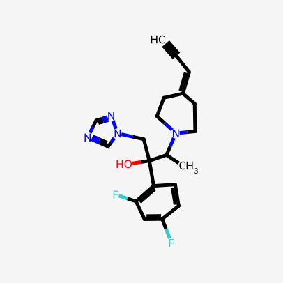 C#CC=C1CCN(C(C)C(O)(Cn2cncn2)c2ccc(F)cc2F)CC1